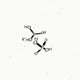 O=P([O-])(O)O.OB(O)O.[K+]